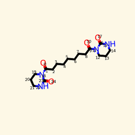 O=C(CCCCCCCC(=O)N1CCCNC1=O)N1CCCNC1=O